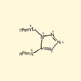 CCCCCc1cnnn1CCCCC